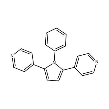 c1ccc(-n2c(-c3ccncc3)ccc2-c2ccncc2)cc1